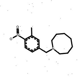 Cc1cc(CN2CCCCCCC2)ccc1[N+](=O)[O-]